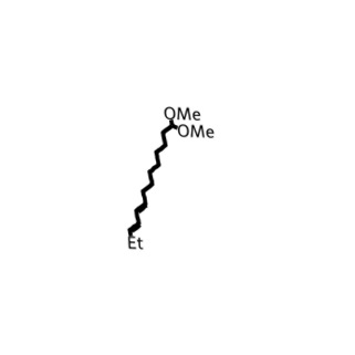 CCC=CC=CCCCCCCCC(OC)OC